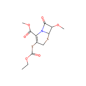 CCOC(=O)SC1=C(C(=O)OC)N2C(=O)C(OC)C2SC1